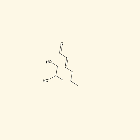 CC(O)CO.CCC/C=C/C=O